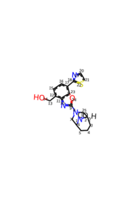 O=C(O)N1C2CCCC1CN(c1nc3c(CO)ccc(-c4nccs4)c3o1)C2